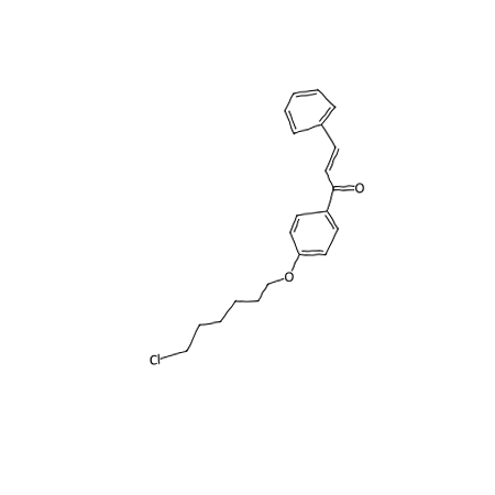 O=C(C=Cc1ccccc1)c1ccc(OCCCCCCCl)cc1